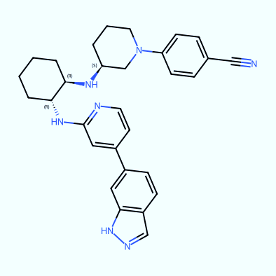 N#Cc1ccc(N2CCC[C@H](N[C@@H]3CCCC[C@H]3Nc3cc(-c4ccc5cn[nH]c5c4)ccn3)C2)cc1